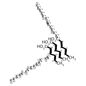 CC=CC=CC(=O)O.CC=CC=CC(=O)O.CC=CC=CC(=O)O.[K+].[K+].[K+].[K+].[K+].[K+].[K+].[K+].[K+].[K+].[K+].[K+].[K+].[K+].[K+].[K+].[K+].[K+].[K+].[K+].[K+].[K+].[K+].[K+].[K+].[K+]